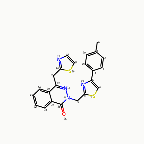 Cc1ccc(-c2csc(Cn3nc(Cc4nccs4)c4ccccc4c3=O)n2)cc1